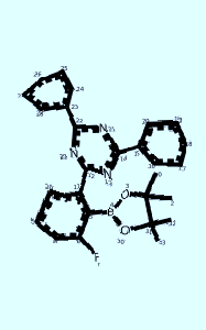 CC1(C)OB(c2c(F)cccc2-c2nc(-c3ccccc3)nc(-c3ccccc3)n2)OC1(C)C